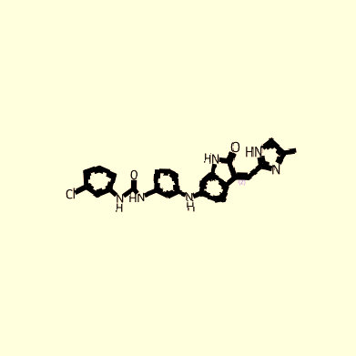 Cc1c[nH]c(/C=C2\C(=O)Nc3cc(Nc4cccc(NC(=O)Nc5cccc(Cl)c5)c4)ccc32)n1